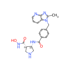 Cc1nc2ncccc2n1Cc1ccc(C(=O)N[C@@H]2CNC[C@@H]2C(=O)NO)cc1